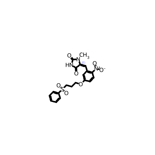 CN1C(=O)NC(=O)/C1=C\c1cc(OCCCS(=O)(=O)c2ccccc2)ccc1[N+](=O)[O-]